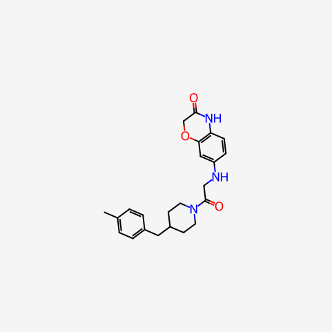 Cc1ccc(CC2CCN(C(=O)CNc3ccc4c(c3)OCC(=O)N4)CC2)cc1